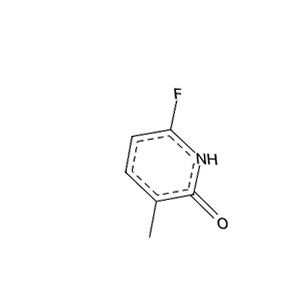 Cc1ccc(F)[nH]c1=O